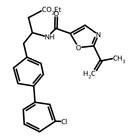 C=C(C)c1ncc(C(=O)NC(CC(=O)OCC)Cc2ccc(-c3cccc(Cl)c3)cc2)o1